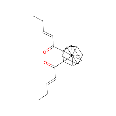 CCC=CC(=O)[C]12[CH]3[CH]4[CH]5[C]1(C(=O)C=CCC)[Fe]43521678[CH]2[CH]1[CH]6[CH]7[CH]28